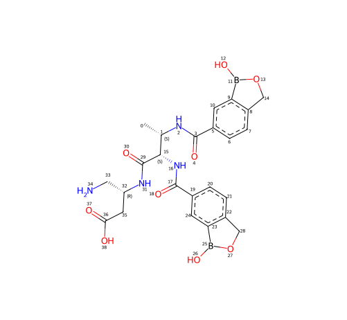 C[C@H](NC(=O)c1ccc2c(c1)B(O)OC2)[C@H](NC(=O)c1ccc2c(c1)B(O)OC2)C(=O)N[C@@H](CN)CC(=O)O